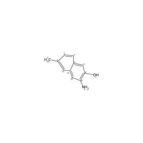 Cc1ccc2cc(O)c(N)cc2c1